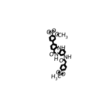 COc1cc(-c2ccc3c(c2)Nc2ccc(NC(=O)Cc4ccc(S(C)(=O)=O)cc4)cc2NC3=O)ccc1[N+](=O)[O-]